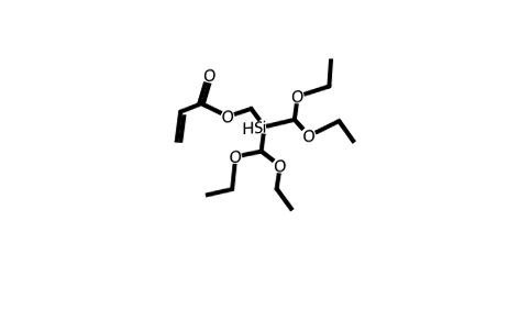 C=CC(=O)OC[SiH](C(OCC)OCC)C(OCC)OCC